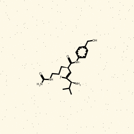 CC(C)[C@H](N)/C(F)=C/[C@@H](CCCNC(N)=O)C(=O)Nc1ccc(CO)cc1